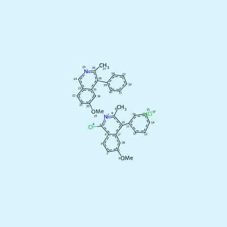 COc1ccc2c(Cl)nc(C)c(-c3ccccc3)c2c1.COc1ccc2cnc(C)c(-c3ccccc3)c2c1.Cl